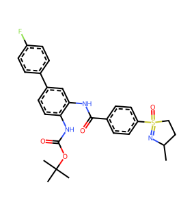 CC1CCS(=O)(c2ccc(C(=O)Nc3cc(-c4ccc(F)cc4)ccc3NC(=O)OC(C)(C)C)cc2)=N1